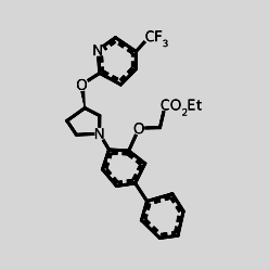 CCOC(=O)COc1cc(-c2ccccc2)ccc1N1CC[C@@H](Oc2ccc(C(F)(F)F)cn2)C1